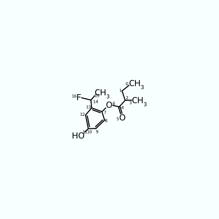 CCC(C)C(=O)Oc1ccc(O)cc1C(C)F